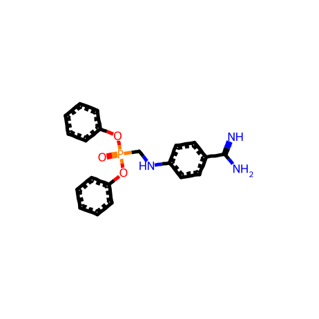 N=C(N)c1ccc(NCP(=O)(Oc2ccccc2)Oc2ccccc2)cc1